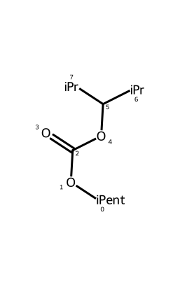 CCCC(C)OC(=O)OC(C(C)C)C(C)C